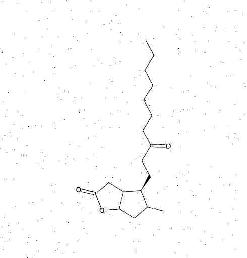 CCCCCCCC(=O)CC[C@H]1C(C)CC2OC(=O)CC21